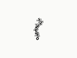 COC(OC1(O)CC[C@H]2C[C@H](n3ccc4c(NC(=O)c5ccccc5)ncnc43)O[C@@H]2C1)[C@@H](F)[C@@H](O)n1cnc2c(=O)[nH]c(NC(=O)C(C)C)nc21